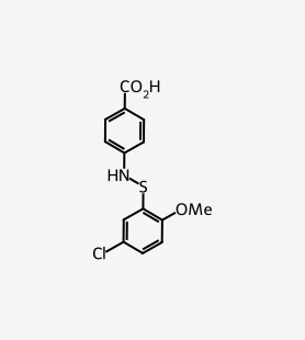 COc1ccc(Cl)cc1SNc1ccc(C(=O)O)cc1